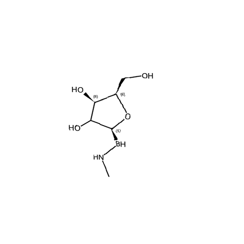 CNB[C@@H]1O[C@H](CO)[C@H](O)C1O